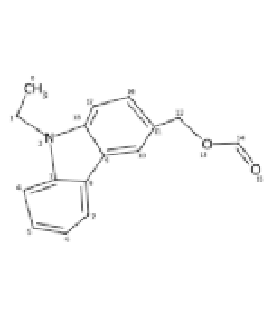 CCn1c2ccccc2c2cc(COC=O)ccc21